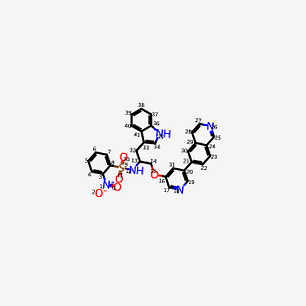 O=[N+]([O-])c1ccccc1S(=O)(=O)NC(COc1cncc(-c2ccc3cnccc3c2)c1)Cc1c[nH]c2ccccc12